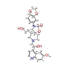 COc1ccc2nccc(C(O)CN3CCC4(CN(c5ccc6c(c5)OCCO6)C(=O)O4)C(CCO)C3)c2c1